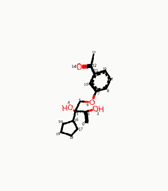 C=C(O)C(O)(COc1cccc(C(C)=O)c1)C1CCCC1